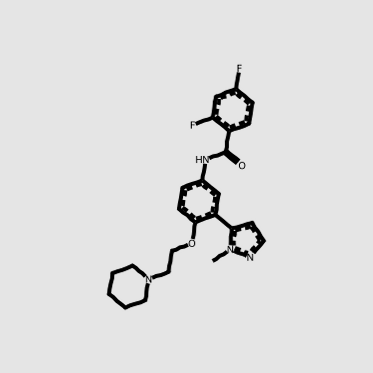 Cn1nccc1-c1cc(NC(=O)c2ccc(F)cc2F)ccc1OCCN1CCCCC1